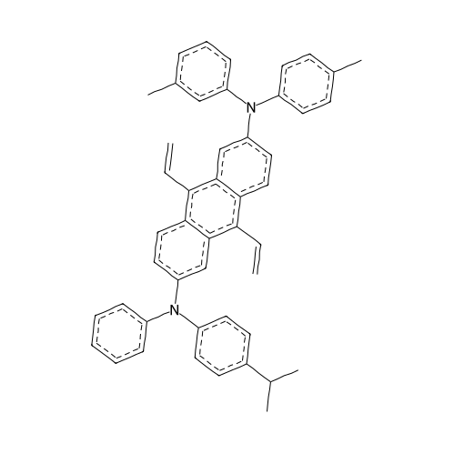 C=Cc1c2ccc(N(c3ccc(C)cc3)c3cccc(C)c3)cc2c(C=C)c2ccc(N(c3ccccc3)c3ccc(C(C)C)cc3)cc12